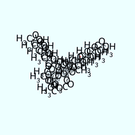 CC(=O)OC[C@H]1O[C@H](O[C@H]2O[C@H](COC(C)=O)[C@@H](OC(C)=O)[C@H](OC(C)=O)[C@H]2OC(C)=O)[C@H](OC(C)=O)[C@@H](OC(C)=O)[C@@H]1OC(C)=O.CC(C)C(=O)O.CC(C)C(=O)O.CC(C)C(=O)O.CC(C)C(=O)O.CC(C)C(=O)O.CC(C)C(=O)O.CC(C)C(=O)O.CC(C)C(=O)O